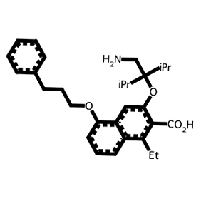 CCc1c(C(=O)O)c(OC(CN)(C(C)C)C(C)C)cc2c(OCCCc3ccccc3)cccc12